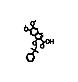 COc1cc2sc(C(=O)O)c(OCC(C)(C)c3ccccc3)c2cc1OC